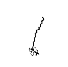 CCCCCCCCCCCCCCCCCC(=O)OC(=O)C(C)(C)C